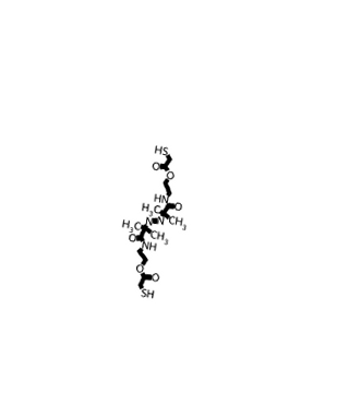 CC(C)(N=NC(C)(C)C(=O)NCCOC(=O)CS)C(=O)NCCOC(=O)CS